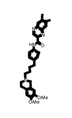 COc1cc2c(cc1OC)CN(CCCCc1ccc(NC(=O)c3cnc4cc(C)c(C)cc4n3)cc1)CC2